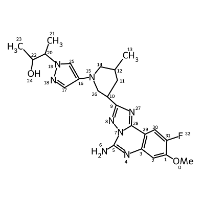 COc1cc2nc(N)n3nc(C4CC(C)CN(c5cnn(C(C)C(C)O)c5)C4)nc3c2cc1F